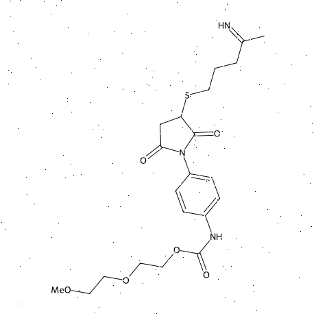 COCCOCCOC(=O)Nc1ccc(N2C(=O)CC(SCCCC(C)=N)C2=O)cc1